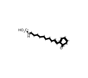 O=C(O)NCCCCCCCCC=CC1=CC=CCC1=O